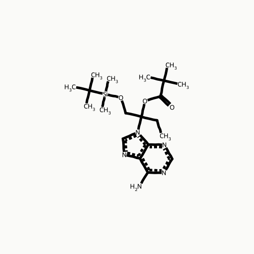 CCC(CO[Si](C)(C)C(C)(C)C)(OC(=O)C(C)(C)C)n1cnc2c(N)ncnc21